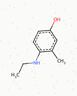 CCNc1ccc(O)cc1C